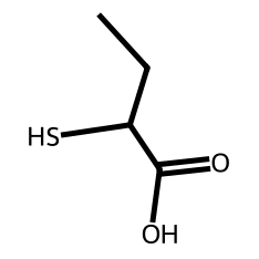 CCC(S)C(=O)O